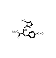 COC(=O)C(N)Cc1ccc(C=O)cc1.Cn1nccc1O